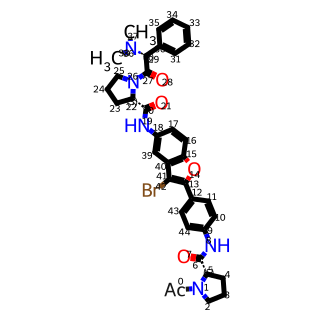 CC(=O)N1CCC[C@H]1C(=O)Nc1ccc(-c2oc3ccc(NC(=O)[C@@H]4CCCN4C(=O)[C@@H](c4ccccc4)N(C)C)cc3c2Br)cc1